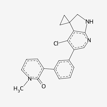 Cn1cccc(-c2cccc(-c3cnc4c(c3Cl)C3(CC3)CN4)c2)c1=O